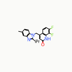 Cc1ccc2c(c1)nc(C(C)C)n2Cc1cc(=O)[nH]c2c(F)c(F)ccc12